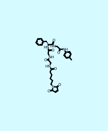 Cc1ccc(NC(=O)CNC(=O)[C@H](Cc2ccccc2)NC(=O)CNC(=O)CNC(=O)CCCCCN2C(=O)C=CC2=O)cc1